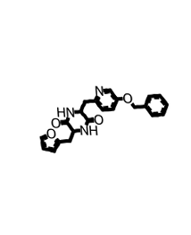 O=C1NC(Cc2ccco2)C(=O)NC1Cc1ccc(OCc2ccccc2)cn1